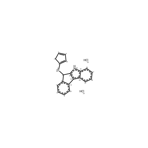 C1=CC[C]([Zr][CH]2c3ccccc3-c3c2[nH]c2ccccc32)=C1.Cl.Cl